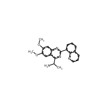 COc1cc2nc(-c3cccc4cccnc34)nc(C(C)N)c2cc1OC